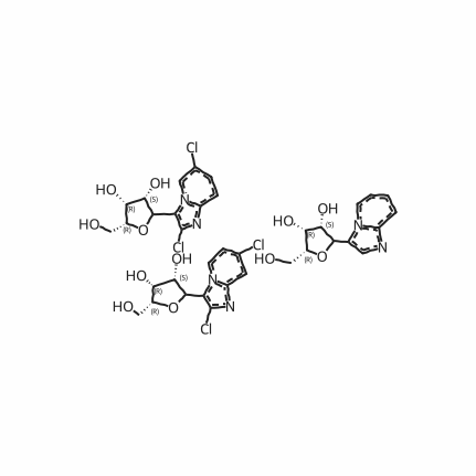 OC[C@H]1OC(c2c(Cl)nc3cc(Cl)ccn23)[C@@H](O)[C@H]1O.OC[C@H]1OC(c2c(Cl)nc3ccc(Cl)cn23)[C@@H](O)[C@H]1O.OC[C@H]1OC(c2cnc3ccccn23)[C@@H](O)[C@H]1O